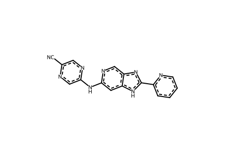 N#Cc1cnc(Nc2cc3[nH]c(-c4ccccn4)nc3cn2)cn1